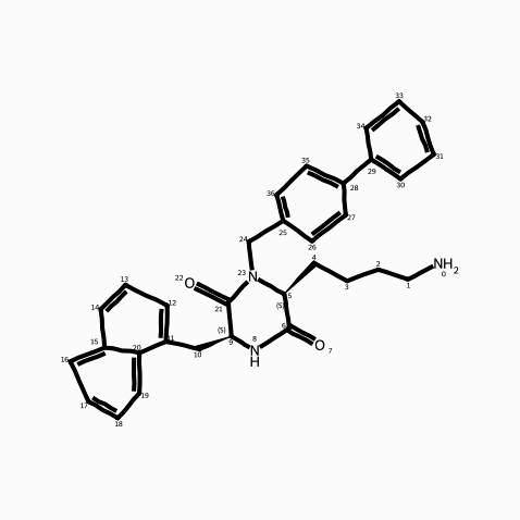 NCCCC[C@H]1C(=O)N[C@@H](Cc2cccc3ccccc23)C(=O)N1Cc1ccc(-c2ccccc2)cc1